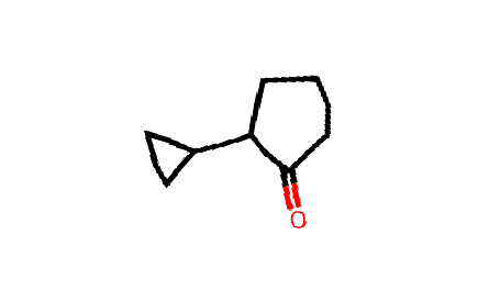 O=C1CCCC1C1CC1